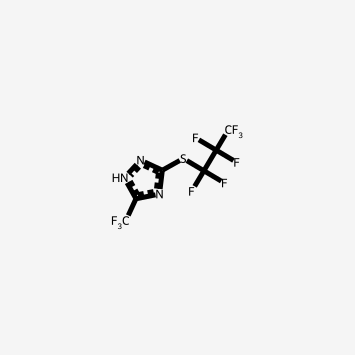 FC(F)(F)c1nc(SC(F)(F)C(F)(F)C(F)(F)F)n[nH]1